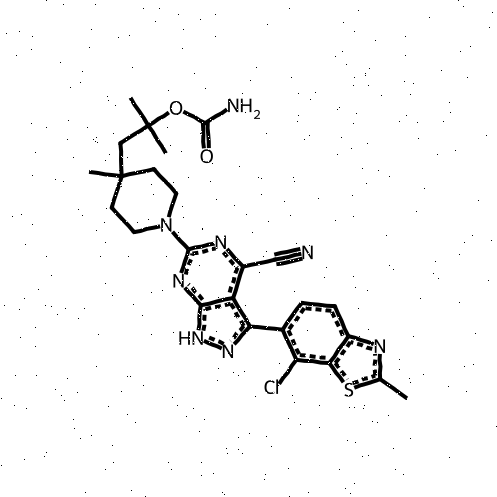 Cc1nc2ccc(-c3n[nH]c4nc(N5CCC(C)(CC(C)(C)OC(N)=O)CC5)nc(C#N)c34)c(Cl)c2s1